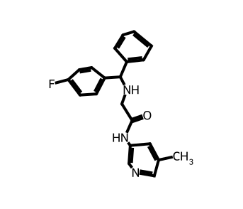 Cc1cncc(NC(=O)CNC(c2ccccc2)c2ccc(F)cc2)c1